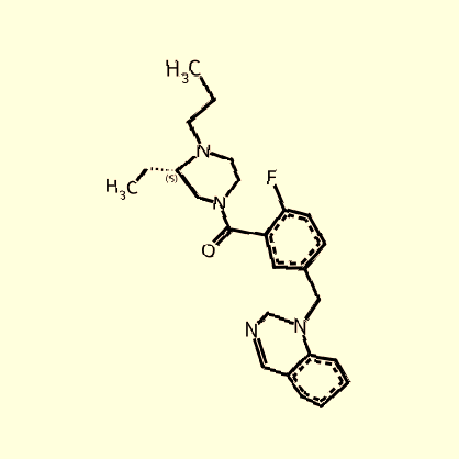 CCCN1CCN(C(=O)c2cc(CN3CN=Cc4ccccc43)ccc2F)C[C@@H]1CC